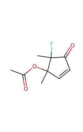 CC(=O)OC1(C)C=CC(=O)C1(C)F